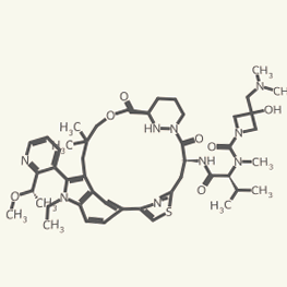 CCn1c(-c2cccnc2[C@H](C)OC)c2c3cc(ccc31)-c1csc(n1)C[C@H](NC(=O)[C@H](C(C)C)N(C)C(=O)N1CC(O)(CN(C)C)C1)C(=O)N1CCCC(C=O)(COCC(C)(C)C2)N1